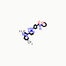 Cc1nc2ccc(C(F)(F)F)cn2c1-c1ccnc(Nc2ccc(C(=O)NC3CCCCO3)cc2)n1